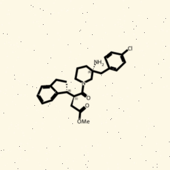 COC(=O)C[C@H](C(=O)N1CCC[C@@](N)(Cc2ccc(Cl)cc2)C1)[C@H]1CCc2ccccc21